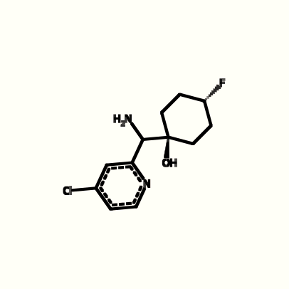 NC(c1cc(Cl)ccn1)[C@]1(O)CC[C@H](F)CC1